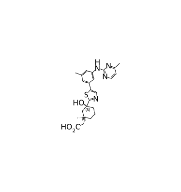 Cc1cc(Nc2nccc(C)n2)cc(-c2cnc([C@]3(O)CCC[C@@](C)(CC(=O)O)C3)s2)c1